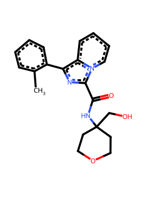 Cc1ccccc1-c1nc(C(=O)NC2(CO)CCOCC2)n2ccccc12